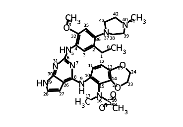 CCc1cc(Nc2nc(Nc3ccc4c(c3N(C)S(C)(=O)=O)OCCO4)c3cc[nH]c3n2)c(OC)cc1N1CCN(C)CC1